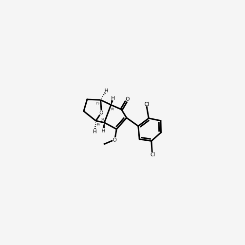 COC1=C(c2cc(Cl)ccc2Cl)C(=O)[C@@H]2[C@H]1[C@H]1CC[C@@H]2O1